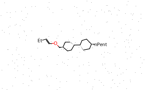 CCC=COC[C@H]1CC[C@H]([C@H]2CC[C@H](CCCCC)CC2)CC1